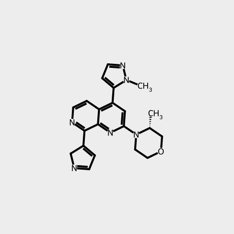 C[C@@H]1COCCN1c1cc(-c2ccnn2C)c2ccnc(C3=CC=NC3)c2n1